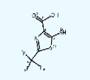 O=C(O)c1nc(C(F)(F)F)sc1S